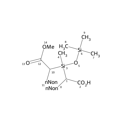 CCCCCCCCCC(C(=O)O)[Si](C)(O[Si](C)(C)C)C(CCCCCCCCC)C(=O)OC